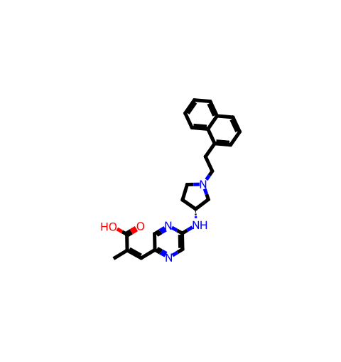 CC(=Cc1cnc(N[C@@H]2CCN(CCc3cccc4ccccc34)C2)cn1)C(=O)O